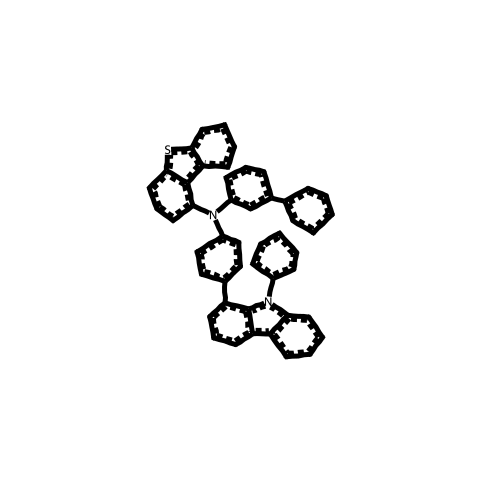 c1ccc(-c2cccc(N(c3ccc(-c4cccc5c6ccccc6n(-c6ccccc6)c45)cc3)c3cccc4sc5ccccc5c34)c2)cc1